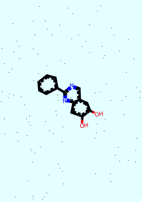 Oc1cc2cnc(-c3ccccc3)nc2cc1O